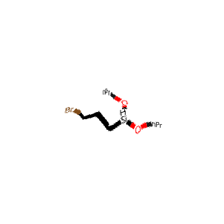 CCCO[SiH](C=CCBr)OCCC